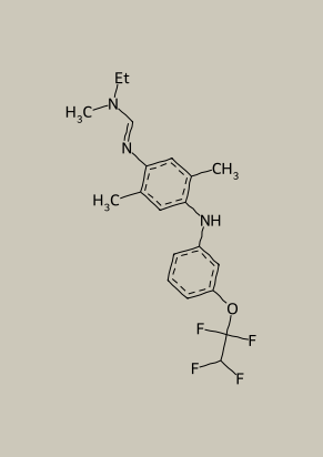 CCN(C)C=Nc1cc(C)c(Nc2cccc(OC(F)(F)C(F)F)c2)cc1C